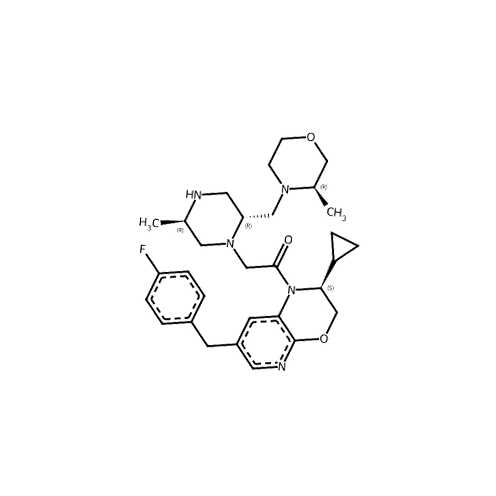 C[C@@H]1CN(CC(=O)N2c3cc(Cc4ccc(F)cc4)cnc3OC[C@@H]2C2CC2)[C@@H](CN2CCOC[C@H]2C)CN1